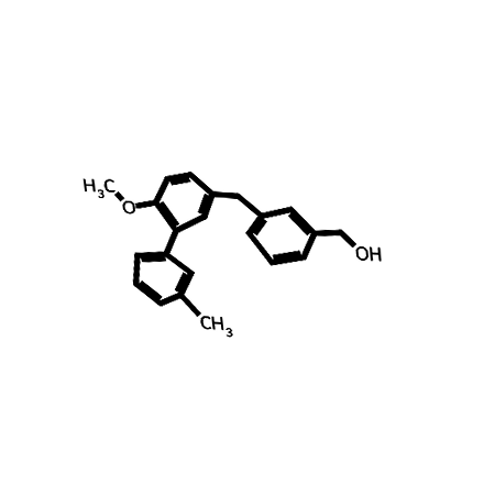 COc1ccc(Cc2cccc(CO)c2)cc1-c1cccc(C)c1